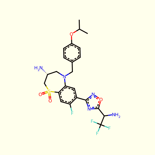 CC(C)Oc1ccc(CN2C[C@@H](N)CS(=O)(=O)c3cc(F)c(-c4noc(C(N)C(F)(F)F)n4)cc32)cc1